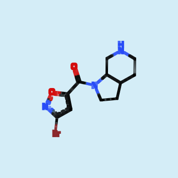 O=C(c1cc(Br)no1)N1CCC2CCNCC21